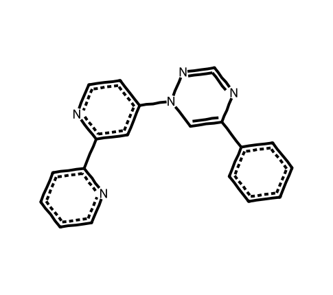 C1=NC(c2ccccc2)=CN(c2ccnc(-c3ccccn3)c2)N=1